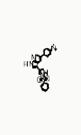 CN(C)c1ccc(-c2cnc3[nH]cc(-c4cnn(S(=O)(=O)c5ccccc5)c4)c3c2)cc1